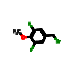 Fc1cc(CBr)cc(F)c1OC(F)(F)F